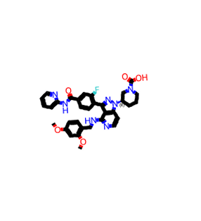 COc1ccc(CNc2nccc3c2c(-c2ccc(C(=O)Nc4ccccn4)cc2F)nn3[C@@H]2CCCN(C(=O)O)C2)c(OC)c1